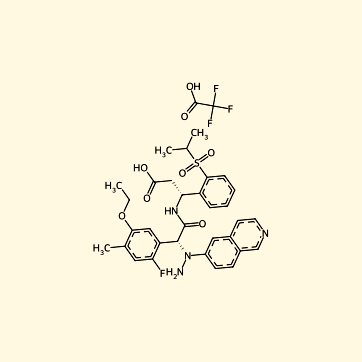 CCOc1cc([C@H](C(=O)N[C@H](CC(=O)O)c2ccccc2S(=O)(=O)C(C)C)N(N)c2ccc3cnccc3c2)c(F)cc1C.O=C(O)C(F)(F)F